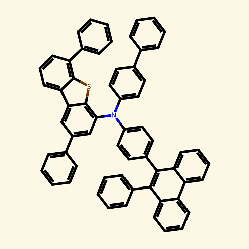 c1ccc(-c2ccc(N(c3ccc(-c4c(-c5ccccc5)c5ccccc5c5ccccc45)cc3)c3cc(-c4ccccc4)cc4c3sc3c(-c5ccccc5)cccc34)cc2)cc1